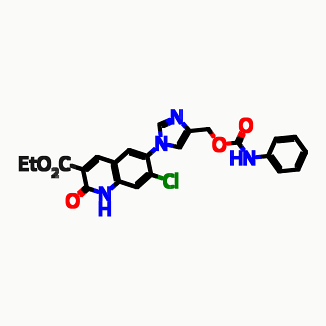 CCOC(=O)c1cc2cc(-n3cnc(COC(=O)Nc4ccccc4)c3)c(Cl)cc2[nH]c1=O